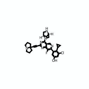 Oc1cc(Cl)c(C2CC2)c(-c2ncc3c(N4C[C@H]5C[C@@H]4CN5)nc(C#CC45CCCN4CCC5)nc3c2F)c1